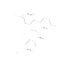 COc1ccc(C(=O)N2c3cc(F)ccc3-c3ccc(F)cc3C2C)cc1